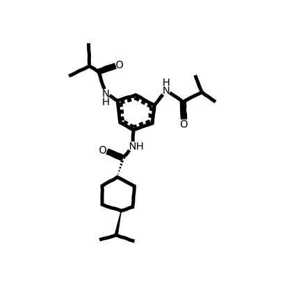 CC(C)C(=O)Nc1cc(NC(=O)C(C)C)cc(NC(=O)[C@H]2CC[C@H](C(C)C)CC2)c1